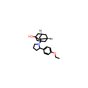 CCOc1ccc(C2CCCN2C23C[C@@H]4C[C@@H](CC(O)(C4)C2)C3)cc1